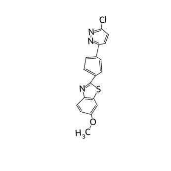 COc1ccc2nc(-c3ccc(-c4ccc(Cl)nn4)cc3)sc2c1